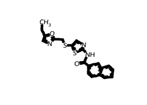 CCc1cnc(CSc2cnc(NC(=O)c3ccc4ccccc4c3)s2)o1